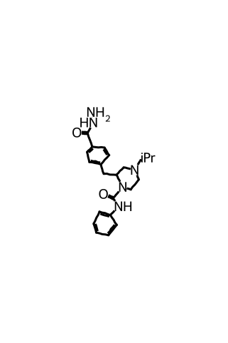 CC(C)N1CCN(C(=O)Nc2ccccc2)C(Cc2ccc(C(=O)NN)cc2)C1